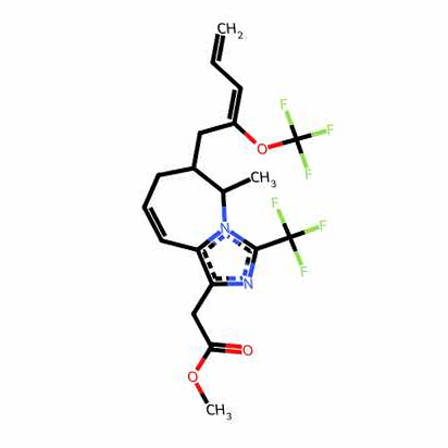 C=C/C=C(\CC1CC=Cc2c(CC(=O)OC)nc(C(F)(F)F)n2C1C)OC(F)(F)F